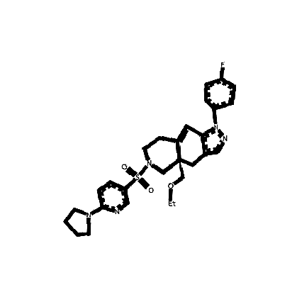 CCOC[C@]12Cc3cnn(-c4ccc(F)cc4)c3C=C1CCN(S(=O)(=O)c1ccc(N3CCCC3)nc1)C2